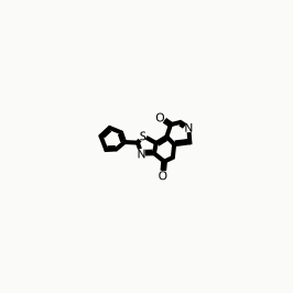 O=C1C=NC=C2CC(=O)C3=NC(c4ccccc4)SC3=C12